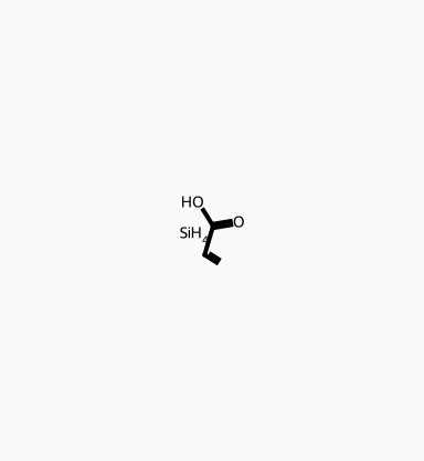 C=CC(=O)O.[SiH4]